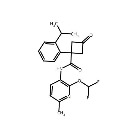 Cc1ccc(NC(=O)C2(c3ccccc3C(C)C)CC(=O)C2)c(OC(F)F)n1